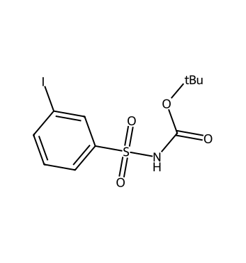 CC(C)(C)OC(=O)NS(=O)(=O)c1cccc(I)c1